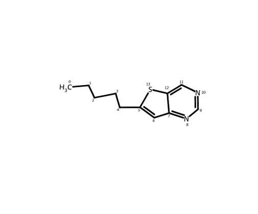 CCCCCc1cc2ncncc2s1